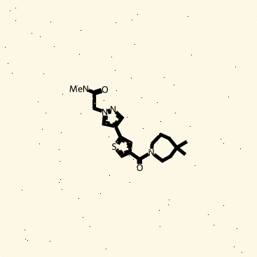 CNC(=O)Cn1cc(-c2cc(C(=O)N3CCCC(C)(C)CC3)cs2)cn1